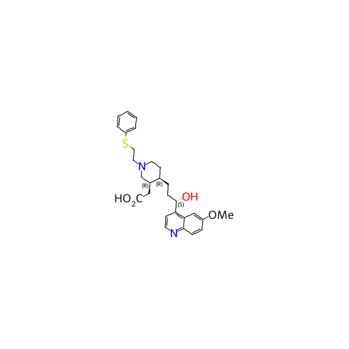 COc1ccc2nccc([C@@H](O)CC[C@@H]3CCN(CCSc4ccccc4)C[C@@H]3CC(=O)O)c2c1